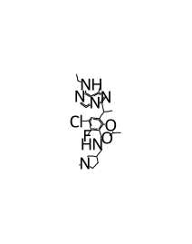 CCNc1nccn2c(C(C)c3cc(Cl)c(F)c(C(=O)NCC4CCN(C)C4)c3OC(C)C)nc(C)c12